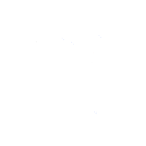 CNC(=O)Cn1nc(C2CC2)c(Oc2ccc(C#N)c(C)c2)c1C1CC1